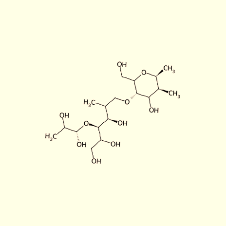 CC(CO[C@@H]1C(CO)O[C@@H](C)[C@@H](C)C1O)[C@@H](O)[C@H](O[C@H](O)C(C)O)C(O)CO